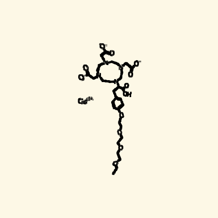 CCOCCOCCOCCOc1ccc(CC(C(=O)O)N2CCN(CC(=O)[O-])CCN(CC(=O)[O-])CCN(CC(=O)[O-])CC2)cc1.[Gd+3]